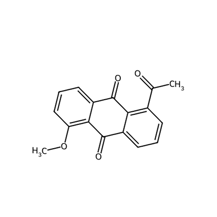 COc1cccc2c1C(=O)c1cccc(C(C)=O)c1C2=O